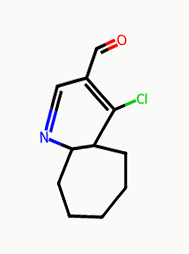 O=CC1=C(Cl)C2CCCCCC2N=C1